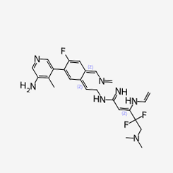 C=CN/C(=C\C(=N)NC/C=c1/cc(-c2cncc(N)c2C)c(F)c/c1=C/N=C)C(F)(F)CN(C)C